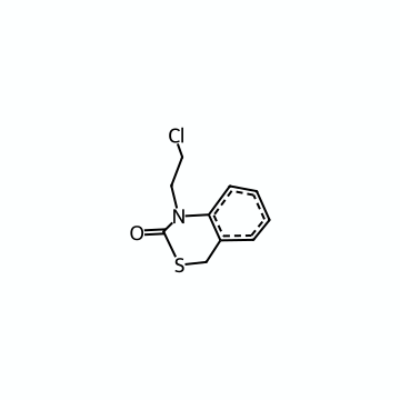 O=C1SCc2ccccc2N1CCCl